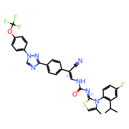 Cc1cs/c(=N\C(=O)N/C=C(\C#N)c2ccc(-c3ncn(-c4ccc(OC(F)(F)F)cc4)n3)cc2)n1-c1ccc(F)cc1C(C)C